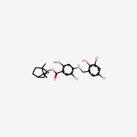 COc1cc(NCc2cc(Cl)cc(Cl)c2O)c(Cl)cc1C(=O)OC1CC2CCC1(C)C2(C)C